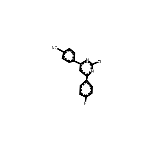 N#Cc1ccc(-c2cc(-c3ccc(F)cc3)nc(Cl)n2)cc1